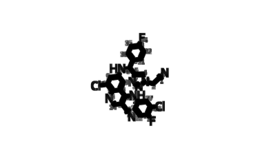 N#CCn1cc([C@@H](Nc2cc(Cl)c3ncc(C#N)c(Nc4ccc(F)c(Cl)c4)c3c2)c2ccc(F)cc2)nn1